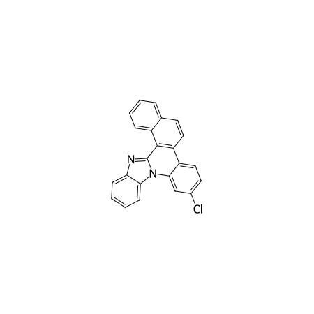 Clc1ccc2c3ccc4ccccc4c3c3nc4ccccc4n3c2c1